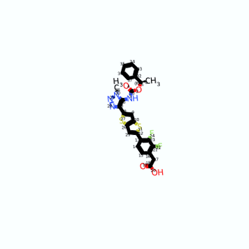 C[C@@H](OC(=O)Nc1c(-c2cc3sc(-c4ccc(CC(=O)O)c(F)c4F)cc3s2)nnn1C)c1ccccc1